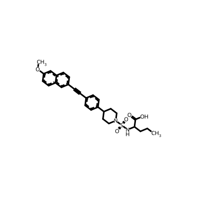 CCCC(NS(=O)(=O)N1CCC(c2ccc(C#Cc3ccc4cc(OC)ccc4c3)cc2)CC1)C(=O)O